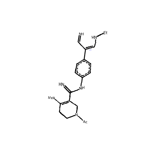 CCN/C=C(\C=N)c1ccc(NC(=N)C2=C(NC)CCN(C(C)=O)C2)cc1